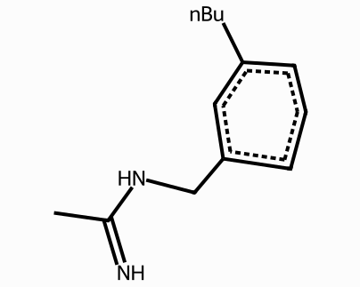 CCCCc1cccc(CNC(C)=N)c1